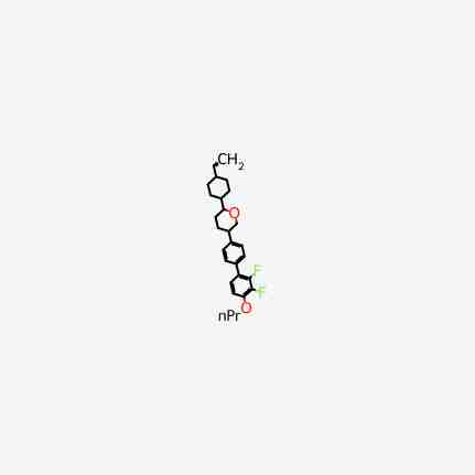 C=CC1CCC(C2CCC(c3ccc(-c4ccc(OCCC)c(F)c4F)cc3)CO2)CC1